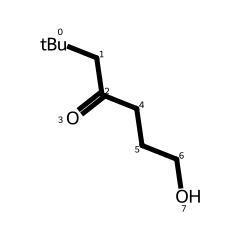 CC(C)(C)CC(=O)CCCO